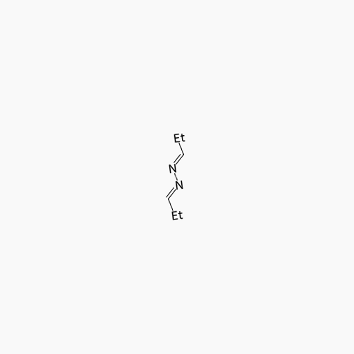 CC/C=N/N=C/CC